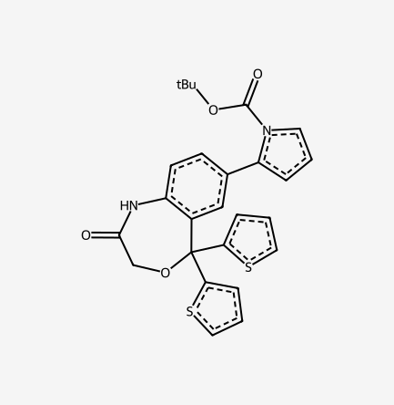 CC(C)(C)OC(=O)n1cccc1-c1ccc2c(c1)C(c1cccs1)(c1cccs1)OCC(=O)N2